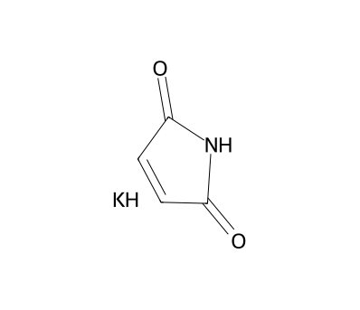 O=C1C=CC(=O)N1.[KH]